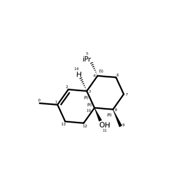 CC1=C[C@H]2[C@H](C(C)C)CC[C@@H](C)[C@]2(O)CC1